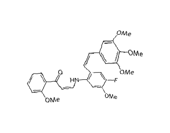 COc1cc(N/C=C\C(=O)c2ccccc2OC)c(/C=C\c2cc(OC)c(OC)c(OC)c2)cc1F